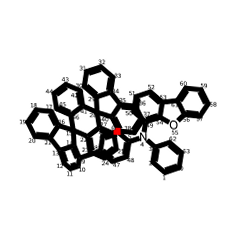 c1ccc(N(c2ccc(-c3cccc4c3C3(c5ccccc5-4)c4ccccc4C4(c5ccccc5-c5ccccc54)c4ccccc43)cc2)c2cccc3c2oc2ccccc23)cc1